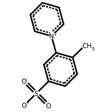 Cc1ccc(S(=O)(=O)[O-])cc1-[n+]1ccccc1